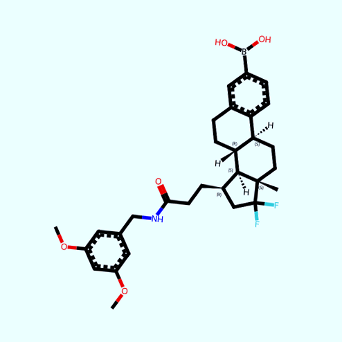 COc1cc(CNC(=O)CC[C@@H]2CC(F)(F)[C@@]3(C)CC[C@@H]4c5ccc(B(O)O)cc5CC[C@H]4[C@H]23)cc(OC)c1